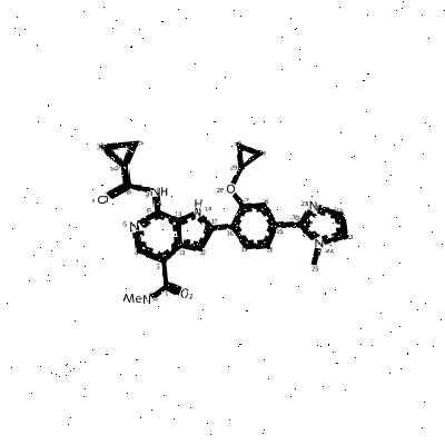 CNC(=O)c1cnc(NC(=O)C2CC2)c2[nH]c(-c3ccc(-c4nccn4C)cc3OC3CC3)cc12